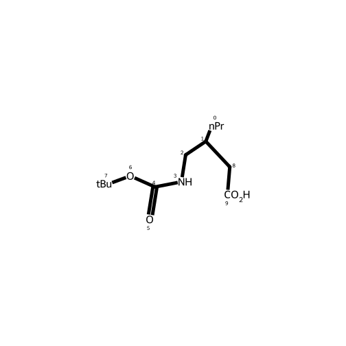 CCCC(CNC(=O)OC(C)(C)C)CC(=O)O